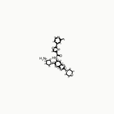 Cc1cc(-c2nc(C(=O)Nc3cc4sc(N5CCOCC5)nc4nc3N3CC[C@H](N)C3)co2)ccn1